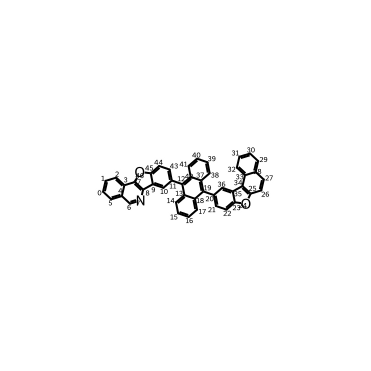 c1ccc2c(c1)cnc1c3cc(-c4c5ccccc5c(-c5ccc6oc7ccc8ccccc8c7c6c5)c5ccccc45)ccc3oc21